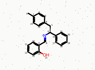 Cc1ccc(C[C@H](N=Cc2ccccc2O)c2ccccc2)cc1